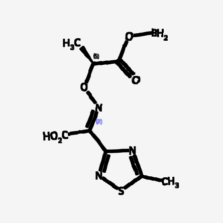 BOC(=O)[C@H](C)O/N=C(\C(=O)O)c1nsc(C)n1